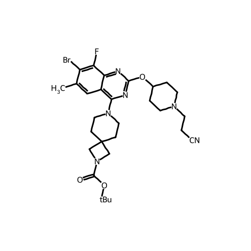 Cc1cc2c(N3CCC4(CC3)CN(C(=O)OC(C)(C)C)C4)nc(OC3CCN(CCC#N)CC3)nc2c(F)c1Br